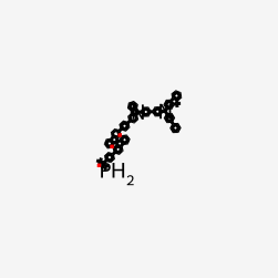 CC1(C)c2ccccc2-c2ccc(N(c3ccc(-c4ccccc4)cc3)c3ccc(-c4ccc(-n5c6c(c7ccccc75)C=C(c5ccc(C7=CC8=C(CC7)c7ccccc7C87c8ccccc8-c8ccc(-c9ccc(C(C(C)(C)C)C(C)(C)P)cc9)cc87)cc5)CC6)cc4)cc3)cc21